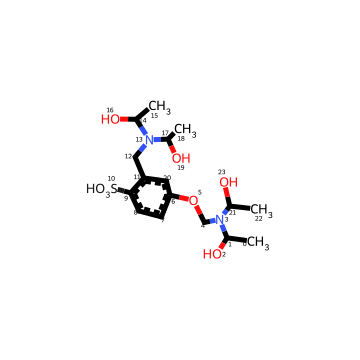 CC(O)N(COc1ccc(S(=O)(=O)O)c(CN(C(C)O)C(C)O)c1)C(C)O